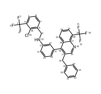 FC(F)(F)c1cccc(CNc2cccc(-c3c(Cc4ccccc4)cnc4c(C(F)(F)F)cccc34)c2)c1Cl